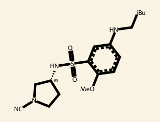 CCC(C)CNc1ccc(OC)c(S(=O)(=O)N[C@@H]2CCN(C#N)C2)c1